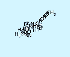 CN1CCN(C2CCN(c3ccc(Nc4ncc(C(F)(F)F)c(Nc5ccc6nccnc6c5N(C)S(C)(=O)=O)n4)c(OC(F)(F)F)c3)CC2)CC1